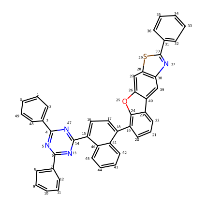 c1ccc(-c2nc(-c3ccccc3)nc(-c3ccc(-c4cccc5c4oc4cc6sc(-c7ccccc7)nc6cc45)c4ccccc34)n2)cc1